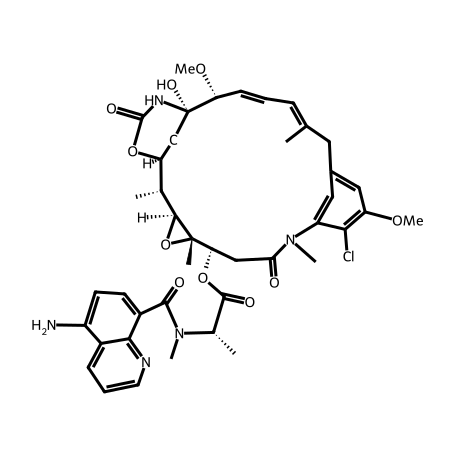 COc1cc2cc(c1Cl)N(C)C(=O)C[C@H](OC(=O)[C@H](C)N(C)C(=O)c1ccc(N)c3cccnc13)[C@]1(C)O[C@H]1[C@H](C)[C@@H]1C[C@@](O)(NC(=O)O1)[C@H](OC)/C=C/C=C(\C)C2